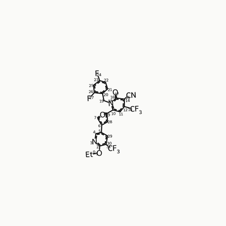 CCOc1ncc(-c2coc(-c3cc(C(F)(F)F)c(C#N)c(=O)n3Cc3ccc(F)cc3F)c2)cc1C(F)(F)F